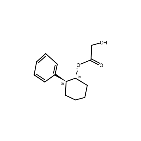 O=C(CO)O[C@@H]1CCCC[C@H]1c1ccccc1